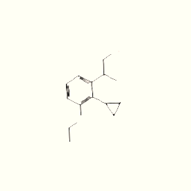 CCOc1cccc([C](C)CO)c1C1CC1